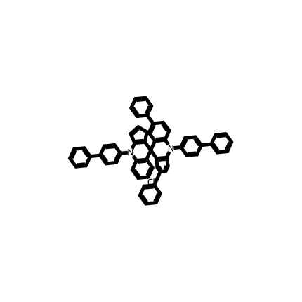 Clc1ccc2c(c1)C1(C3=C(C=CC3)N2c2ccc(-c3ccccc3)cc2)c2cc(-c3ccccc3)ccc2N(c2ccc(-c3ccccc3)cc2)c2ccc(-c3ccccc3)cc21